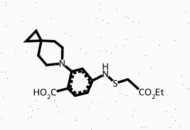 CCOC(=O)CSNc1ccc(C(=O)O)c(N2CCC3(CC2)CC3)c1